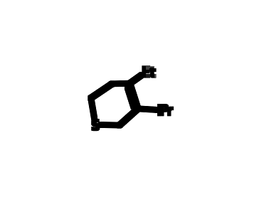 CCC1=C(C(C)C)CSCC1